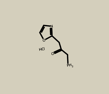 Cl.O=C(CP)Cc1ncco1